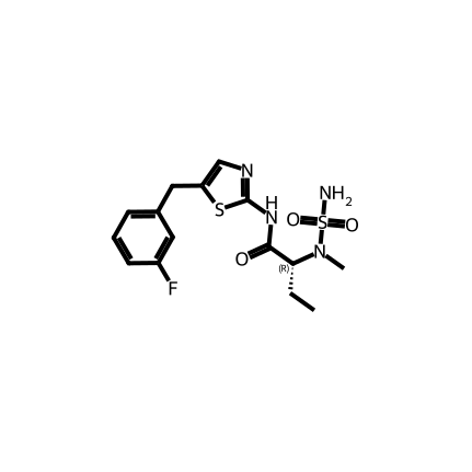 CC[C@H](C(=O)Nc1ncc(Cc2cccc(F)c2)s1)N(C)S(N)(=O)=O